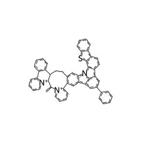 C=C1C2C(CCc3cc4c(cc3-c3cccc[n+]31)c1cc(-c3ccccc3)cc3c5ccc6c7ccccc7sc6c5n4c13)c1ccccc1-c1cccc[n+]12